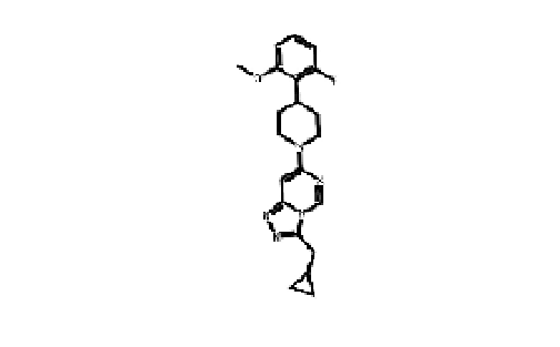 COc1cccc(F)c1C1CCN(c2cc3nnc(CC4CC4)n3cn2)CC1